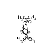 C=C(C)C(=O)OCCc1ccc(N(C)C)cc1